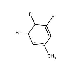 CC1=C[C@H](F)C(F)C(F)=C1